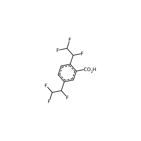 O=C(O)c1cc(C(F)C(F)F)ccc1C(F)C(F)F